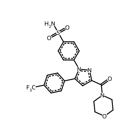 NS(=O)(=O)c1ccc(-n2nc(C(=O)N3CCOCC3)cc2-c2ccc(C(F)(F)F)cc2)cc1